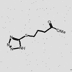 COC(=O)C[CH]CSc1nnn[nH]1